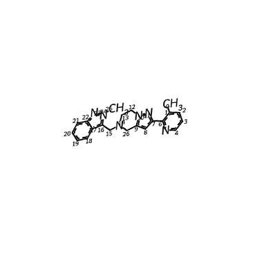 Cc1cccnc1-c1cc2n(n1)CCN(Cc1c3ccccc3nn1C)C2